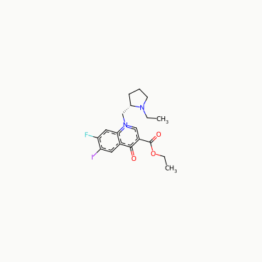 CCOC(=O)c1cn(C[C@@H]2CCCN2CC)c2cc(F)c(I)cc2c1=O